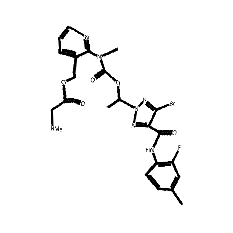 CNCC(=O)OCc1cccnc1N(C)C(=O)OC(C)n1nc(Br)c(C(=O)Nc2ccc(C)cc2F)n1